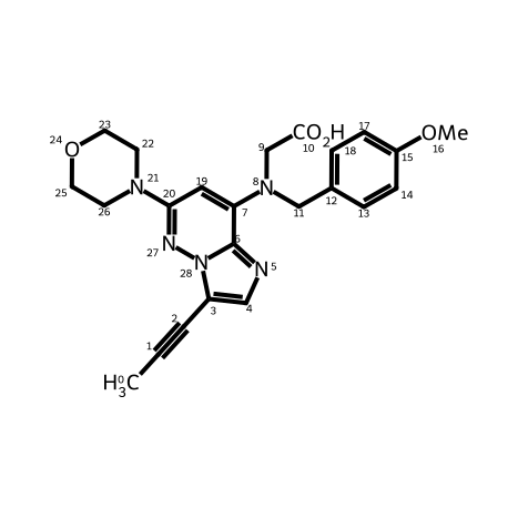 CC#Cc1cnc2c(N(CC(=O)O)Cc3ccc(OC)cc3)cc(N3CCOCC3)nn12